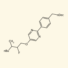 CCCCCCCCCCCc1ccc(-c2ncc(OCC(F)C(C)CCCC)cn2)cc1